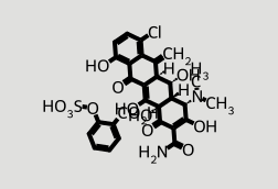 C=C1c2c(Cl)ccc(O)c2C(=O)C2=C(O)[C@]3(O)C(=O)C(C(N)=O)=C(O)[C@@H](N(C)C)[C@H]3[C@@H](O)[C@H]12.O=C(O)c1ccccc1OS(=O)(=O)O